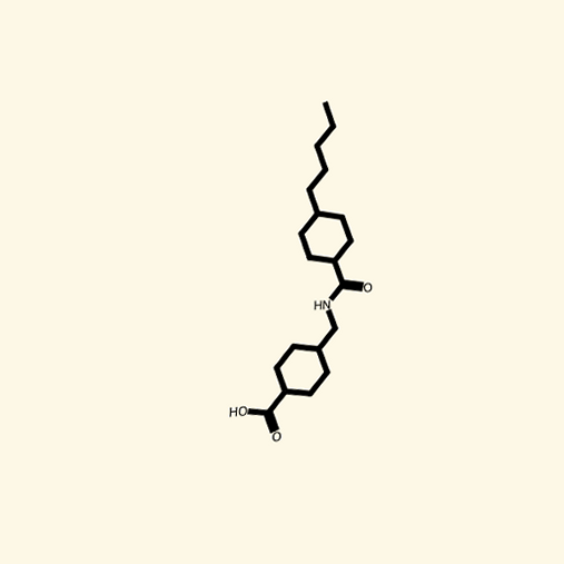 CCCCCC1CCC(C(=O)NCC2CCC(C(=O)O)CC2)CC1